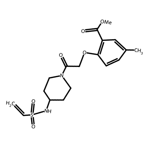 C=CS(=O)(=O)NC1CCN(C(=O)COc2ccc(C)cc2C(=O)OC)CC1